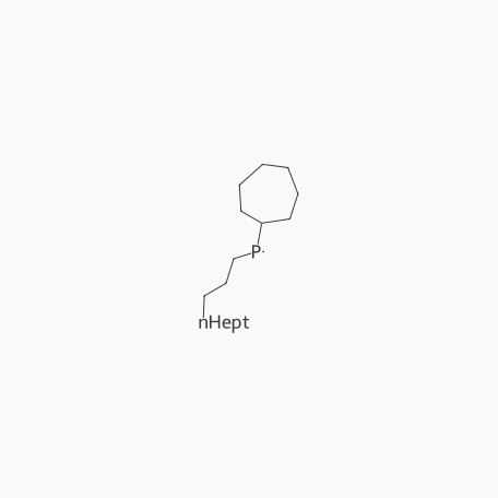 CCCCCCCCCC[P]C1CCCCCC1